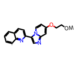 COCCOc1ccn2c(-c3ccc4ccc[c]c4n3)cnc2c1